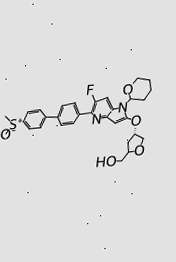 C[S+]([O-])c1ccc(-c2ccc(-c3nc4cc(O[C@@H]5COC(CO)C5)n(C5CCCCO5)c4cc3F)cc2)cc1